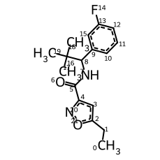 CCc1cc(C(=O)NC(c2cccc(F)c2)C(C)(C)C)no1